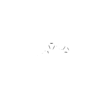 Cc1cccc(C)c1COc1cccc(C(=O)CCC(=O)O)c1